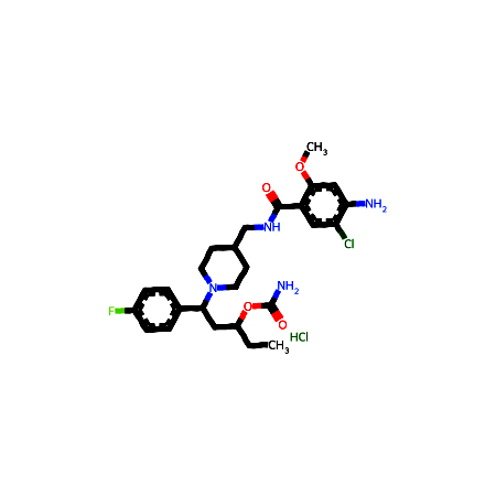 CCC(CC(c1ccc(F)cc1)N1CCC(CNC(=O)c2cc(Cl)c(N)cc2OC)CC1)OC(N)=O.Cl